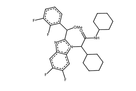 COC(c1cccc(F)c1F)c1nc2cc(F)c(F)cc2n1C(C(=O)NC1CCCCC1)C1CCCCC1